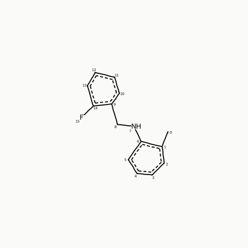 [CH2]c1ccccc1NCc1ccccc1F